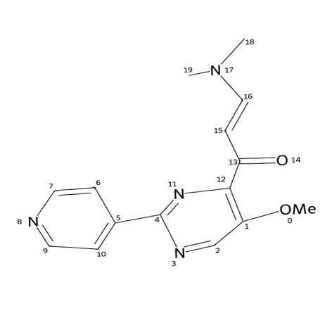 COc1cnc(-c2ccncc2)nc1C(=O)/C=C/N(C)C